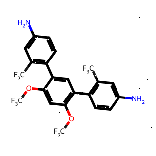 Nc1ccc(-c2cc(-c3ccc(N)cc3C(F)(F)F)c(OC(F)(F)F)cc2OC(F)(F)F)c(C(F)(F)F)c1